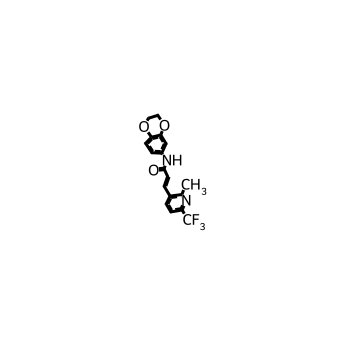 Cc1nc(C(F)(F)F)ccc1/C=C/C(=O)Nc1ccc2c(c1)OCCO2